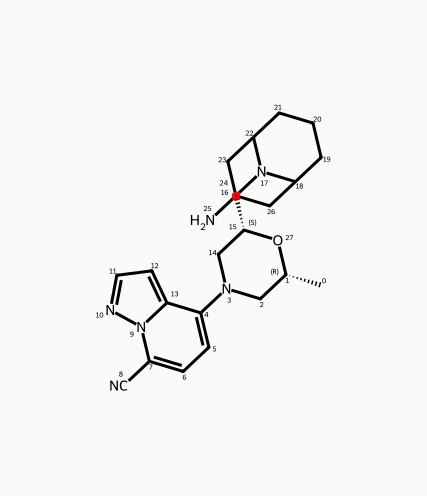 C[C@@H]1CN(c2ccc(C#N)n3nccc23)C[C@H](CN2C3CCCC2CC(N)C3)O1